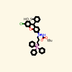 CC(C)(C)OC(=O)N/[N+](CCCC[PH](c1ccccc1)(c1ccccc1)c1ccccc1)=c1\ccc2c(-c3ccccc3S(=O)(=O)O)c3ccc(Cl)cc3oc-2c1